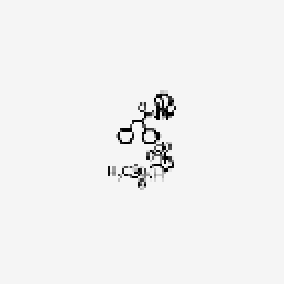 C=CS(=O)(=O)NCC1CCCN1S(=O)(=O)c1ccc(C(Cc2ccccc2)C(=O)NC23CC4CC(CC(C4)C2)C3)cc1